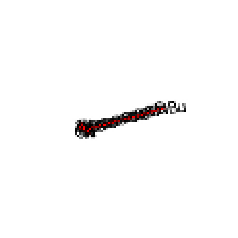 CCCCOCCOCCOCCOCCOCCOCCOCCOCCOCCOCCOCCOCCOCCn1cc(CN2C(=O)CC(C(C)(C)CC)C2=O)nn1